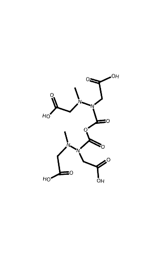 CN(CC(=O)O)N(CC(=O)O)C(=O)OC(=O)N(CC(=O)O)N(C)CC(=O)O